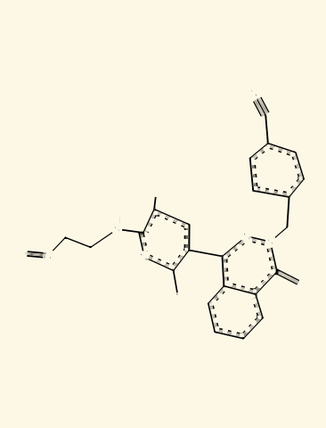 N#Cc1ccc(Cn2nc(-c3cc(Cl)c(NCCN=O)nc3F)c3ccccc3c2=O)cc1